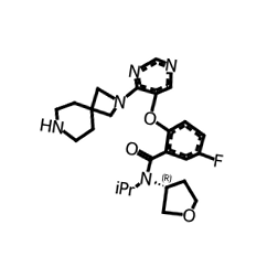 CC(C)N(C(=O)c1cc(F)ccc1Oc1cncnc1N1CC2(CCNCC2)C1)[C@@H]1CCOC1